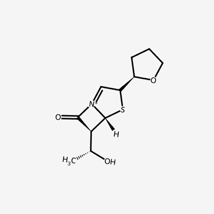 C[C@@H](O)[C@H]1C(=O)[N+]2=CC([C@H]3CCCO3)S[C@H]12